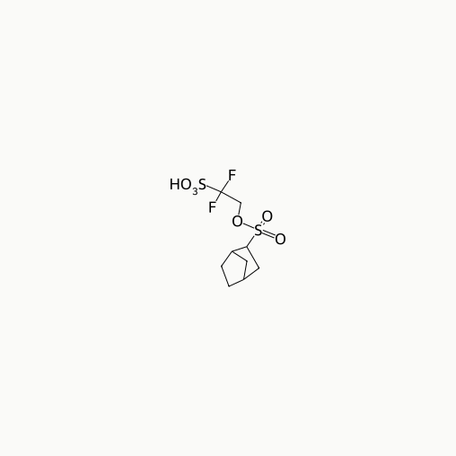 O=S(=O)(OCC(F)(F)S(=O)(=O)O)C1CC2CCC1C2